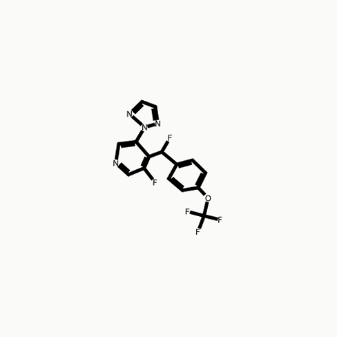 Fc1cncc(-n2nccn2)c1C(F)c1ccc(OC(F)(F)F)cc1